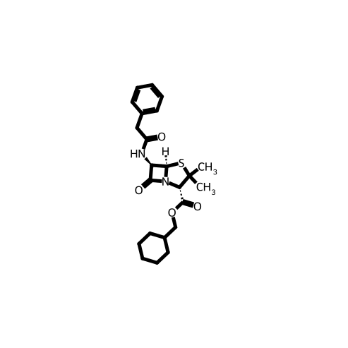 CC1(C)S[C@@H]2[C@H](NC(=O)Cc3ccccc3)C(=O)N2[C@H]1C(=O)OCC1CCCCC1